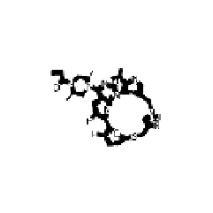 C=CC(=O)N1C[C@H](C)N(c2nc(=O)n3c4nc(c(F)cc24)-c2cc(ccc2F)SCc2cn(nn2)Cc2cnc(C(C)C)c-3c2)C[C@H]1C